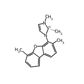 Cc1ccc2c(oc3c(C)cccc32)c1N1C=CN(C)[C@@H]1C